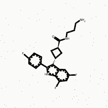 NCCCNC(=O)[C@H]1C[C@H](c2c(-c3ccc(F)cc3)[nH]c3c(F)cc(F)cc32)C1